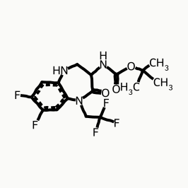 CC(C)(C)OC(=O)NC1CNc2cc(F)c(F)cc2N(CC(F)(F)F)C1=O